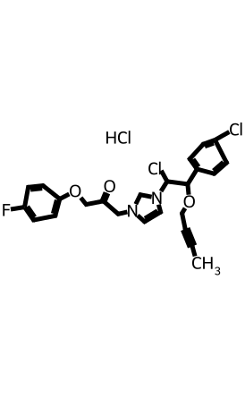 CC#CCOC(c1ccc(Cl)cc1)C(Cl)N1C=CN(CC(=O)COc2ccc(F)cc2)C1.Cl